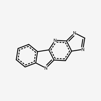 C1=Nc2cc3c(nc2=N1)-c1ccccc1N=3